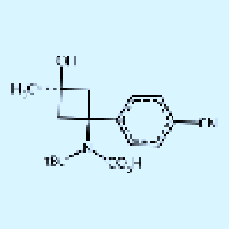 CC(C)(C)N(C(=O)O)[C@]1(c2ccc(C#N)cc2)C[C@](C)(O)C1